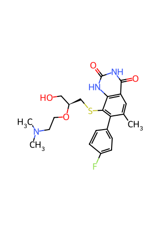 Cc1cc2c(=O)[nH]c(=O)[nH]c2c(SC[C@H](CO)OCCN(C)C)c1-c1ccc(F)cc1